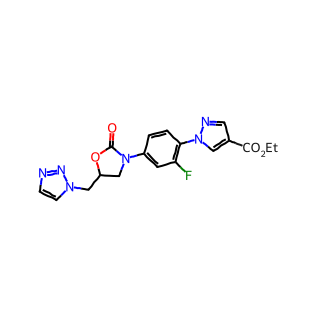 CCOC(=O)c1cnn(-c2ccc(N3CC(Cn4ccnn4)OC3=O)cc2F)c1